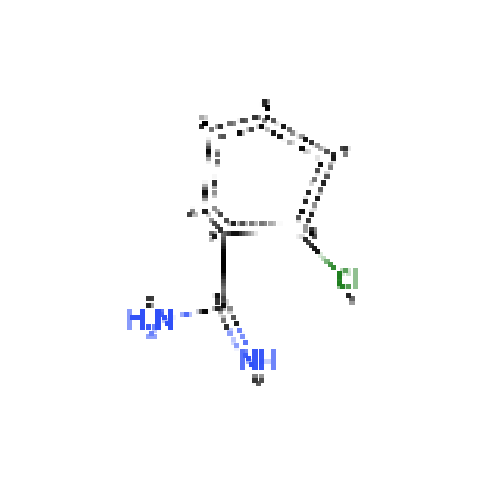 N=C(N)c1cc[c]cc1Cl